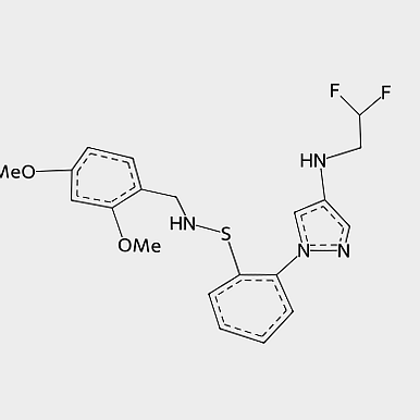 COc1ccc(CNSc2ccccc2-n2cc(NCC(F)F)cn2)c(OC)c1